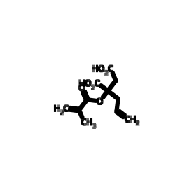 C=CCC(CC(=O)O)(OC(=O)C(=C)C)C(=O)O